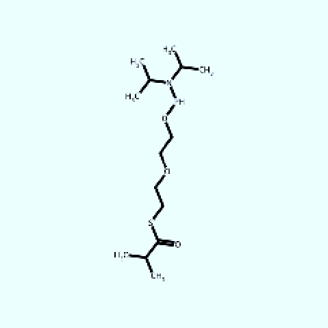 CC(C)C(=O)SCCOCCOPN(C(C)C)C(C)C